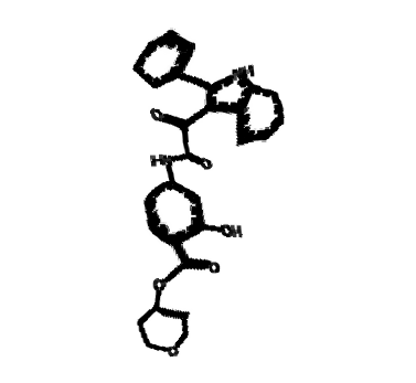 O=C(Nc1ccc(C(=O)OC2CCOCC2)c(O)c1)C(=O)c1c(-c2ccccc2)[nH]c2ccccc12